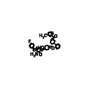 Cc1ccnc(C(=O)N2CC[C@@H](C(=O)N3CCC(O)(Cn4cnc(Oc5ccc(F)cc5)c(N)c4=O)CC3)[C@H](c3ccccc3)C2)c1